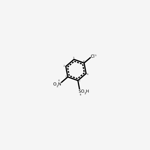 O=[N+]([O-])c1ccc(Cl)cc1S(=O)(=O)O